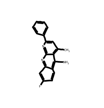 Cc1cc(-c2ccccc2)nc2nc3cc(F)ccc3c(N)c12